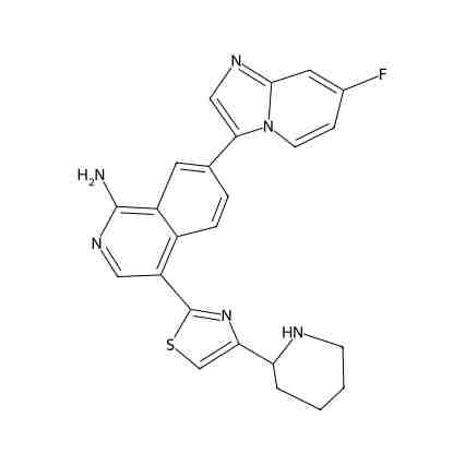 Nc1ncc(-c2nc(C3CCCCN3)cs2)c2ccc(-c3cnc4cc(F)ccn34)cc12